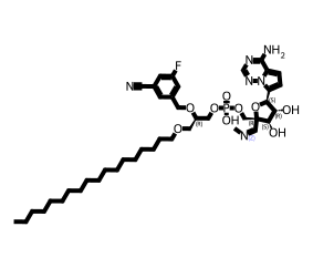 CCCCCCCCCCCCCCCCCCOC[C@H](COP(=O)(O)OC[C@@]1(/C=N\C)O[C@@H](c2ccc3c(N)ncnn23)[C@H](O)[C@@H]1O)OCc1cc(F)cc(C#N)c1